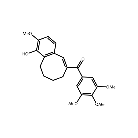 COc1ccc2c(c1O)CCCC/C(C(=O)c1cc(OC)c(OC)c(OC)c1)=C\2